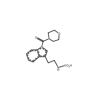 O=C(O)NCCc1cn(C(=O)N2CCOCC2)c2ccccc12